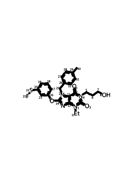 CCn1c(=O)n(CCCO)c(=O)c2c1nc(Oc1cccc(SF)c1)n2Cc1ccc(C)cc1